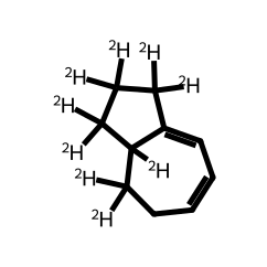 [2H]C1([2H])CC=CC=C2C([2H])([2H])C([2H])([2H])C([2H])([2H])C21[2H]